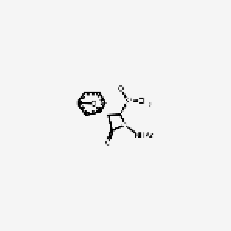 CC(=O)NN1C(=O)C[C@H]1[S+](C)[O-].c1cc2cc(c1)O2